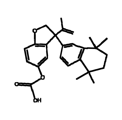 C=C(C)C1(c2ccc3c(c2)C(C)(C)CCC3(C)C)COc2ccc(OC(=O)O)cc21